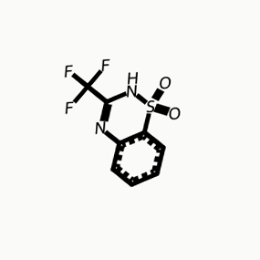 O=S1(=O)NC(C(F)(F)F)=Nc2ccccc21